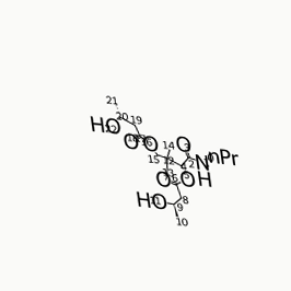 [CH2]CCNC(=O)[C@H](OC(=O)C[C@@H](C)O)C(C)(C)COC(=O)C[C@@H](C)O